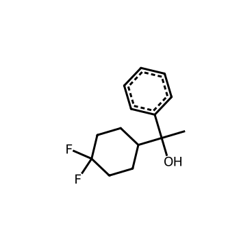 CC(O)(c1ccccc1)C1CCC(F)(F)CC1